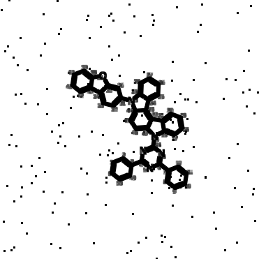 c1ccc(-c2nc(-c3ccccc3)nc(-n3c4ccccc4c4c5c6ccccc6n(-c6ccc7c(c6)oc6ccccc67)c5ccc43)n2)cc1